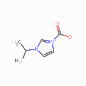 CC(C)n1cc[n+](C(=O)[O-])c1